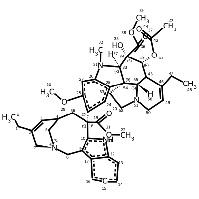 CCC1=CC2C[N@](C1)Cc1c([nH]c3ccccc13)[C@@](C(=O)OC)(c1cc3c(cc1OC)N(C)[C@H]1[C@@](O)(C(=O)OC)[C@H](OC(C)=O)C4C(CC)=CCN5CC[C@]31[C@H]45)C2